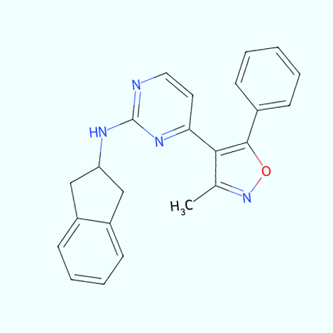 Cc1noc(-c2ccccc2)c1-c1ccnc(NC2Cc3ccccc3C2)n1